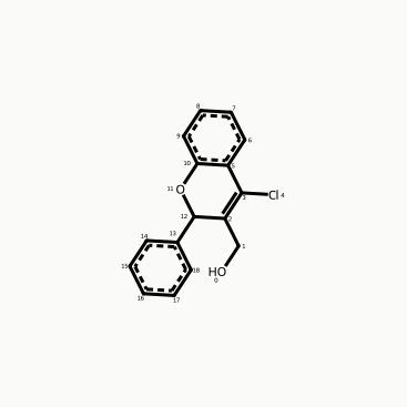 OCC1=C(Cl)c2ccccc2OC1c1ccccc1